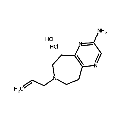 C=CCN1CCc2ncc(N)nc2CC1.Cl.Cl